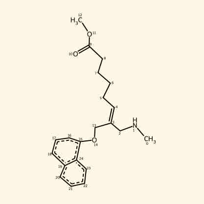 CNC/C(=C/CCCCC(=O)OC)COc1cccc2ccccc12